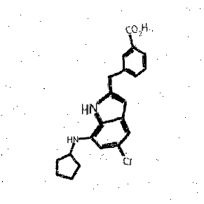 O=C(O)c1cccc(Cc2cc3cc(Cl)cc(NC4CCCC4)c3[nH]2)c1